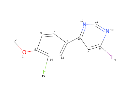 COc1ccc(-c2cc(I)ncn2)cc1F